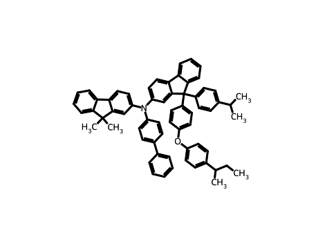 CCC(C)c1ccc(Oc2ccc(C3(c4ccc(C(C)C)cc4)c4ccccc4-c4ccc(N(c5ccc(-c6ccccc6)cc5)c5ccc6c(c5)C(C)(C)c5ccccc5-6)cc43)cc2)cc1